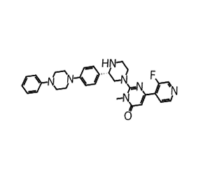 Cn1c(N2CCN[C@@H](c3ccc(N4CCN(c5ccccc5)CC4)cc3)C2)nc(-c2ccncc2F)cc1=O